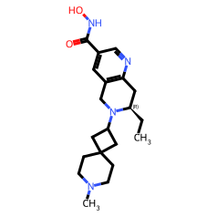 CC[C@@H]1Cc2ncc(C(=O)NO)cc2CN1C1CC2(CCN(C)CC2)C1